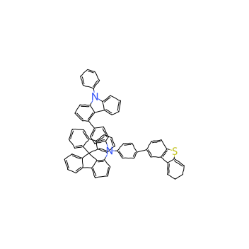 C1=c2sc3ccc(-c4ccc(N(c5ccc(-c6cccc7c6c6ccccc6n7-c6ccccc6)cc5)c5cccc6c5C5(c7ccccc7-c7ccccc75)c5ccccc5-6)cc4)cc3c2=CCC1